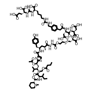 CCCC(=O)OCN(C(=O)[C@@H](NC(=O)[C@H]1CCCCN1C)C(C)CC)[C@H](C[C@@H](OC(C)=O)c1nc(C(=O)N[C@@H](Cc2ccc(O)cc2)C[C@H](C)C(=O)NNC(=O)OCCSSC[C@H](NC(=O)[C@H](CC(=O)O)NC(=O)[C@H](CC(=O)O)NC(=O)Cc2ccc(CNC(=O)NCCCC[C@@H](NC(=O)N[C@H](CCC(=O)O)C(=O)O)C(=O)O)cc2)C(=O)O)cs1)C(C)C